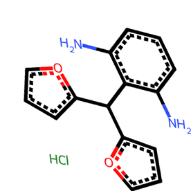 Cl.Nc1cccc(N)c1C(c1ccco1)c1ccco1